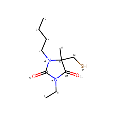 CCCCN1C(=O)N(CC)C(=O)C1(C)CS